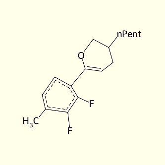 CCCCCC1CC=C(c2ccc(C)c(F)c2F)OC1